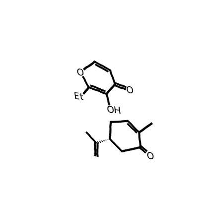 C=C(C)[C@@H]1CC=C(C)C(=O)C1.CCc1occc(=O)c1O